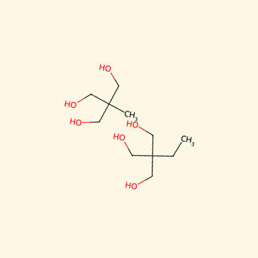 CC(CO)(CO)CO.CCC(CO)(CO)CO